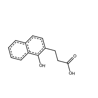 O=C(O)CCc1ccc2ccccc2c1O